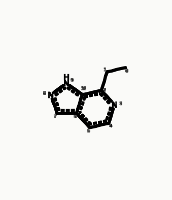 CCc1nccc2cn[nH]c12